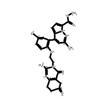 COC(=O)c1ccc2c(-c3cc(Cl)ccc3OCCn3c(C)nc4c(c3=O)CC(=O)CC4)cc(C)nn12